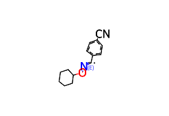 N#Cc1ccc(/[C]=N/OC2CCCCC2)cc1